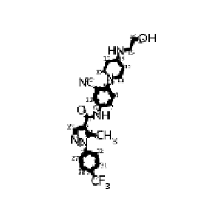 Cc1c(C(=O)Nc2ccc(N3CCC(NCCO)CC3)c(C#N)c2)cnn1-c1ccc(C(F)(F)F)cc1